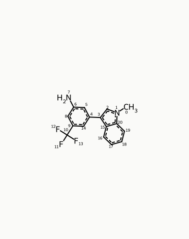 Cn1cc(-c2cc(N)cc(C(F)(F)F)c2)c2ccccc21